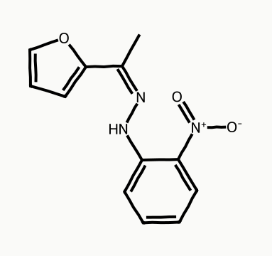 CC(=NNc1ccccc1[N+](=O)[O-])c1ccco1